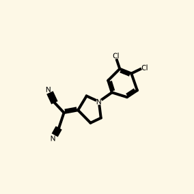 N#CC(C#N)=C1CCN(c2ccc(Cl)c(Cl)c2)C1